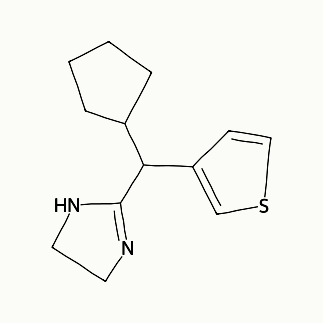 c1cc(C(C2=NCCN2)C2CCCC2)cs1